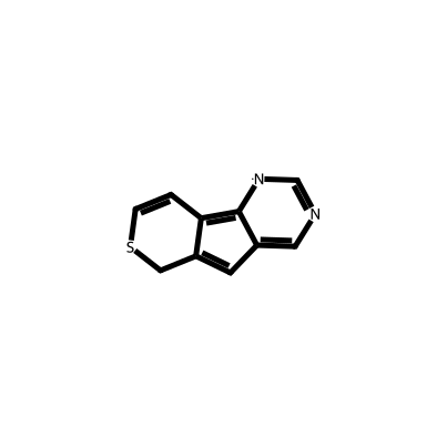 C1=CC2=C3[N]C=NC=C3C=C2CS1